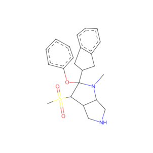 CN1C2CNCC2C(S(C)(=O)=O)C1(Oc1ccccc1)C1Cc2ccccc2C1